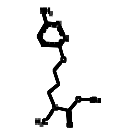 CN(CCCOc1ccc(N)nn1)C(=O)OC(C)(C)C